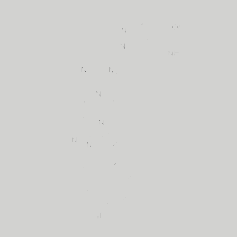 NC(O)c1cnn(-c2ccnc(N3CCN(C(=O)N4N=CC[C@H]4c4cccc(F)c4)CC3)n2)c1